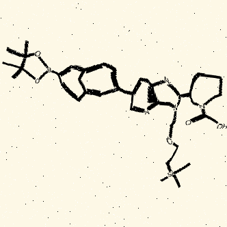 CC1(C)OB(c2ccc3cc(-c4cnc5c(c4)nc(C4CCCN4C(=O)O)n5COCC[Si](C)(C)C)ccc3c2)OC1(C)C